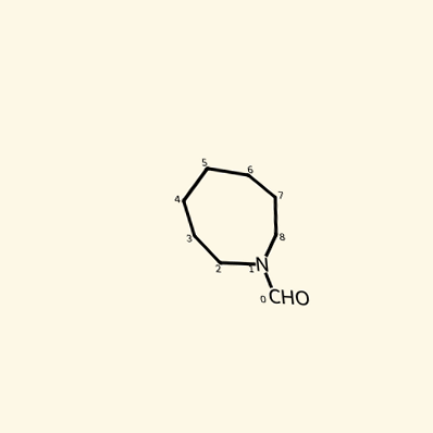 O=CN1CCCCCCC1